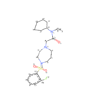 CN(C(=O)CN1CCCN(S(=O)(=O)c2ccccc2F)CC1)C1CCCCC1